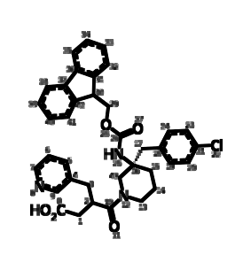 O=C(O)CC(Cc1cccnc1)C(=O)N1CCC[C@](Cc2ccc(Cl)cc2)(NC(=O)OCC2c3ccccc3-c3ccccc32)C1